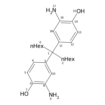 CCCCCCC(CCCCCC)(c1ccc(O)c(N)c1)c1ccc(O)c(N)c1